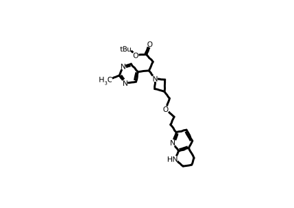 Cc1ncc(C(CC(=O)OC(C)(C)C)N2CC(COCCc3ccc4c(n3)NCCC4)C2)cn1